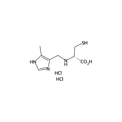 Cc1[nH]cnc1CN[C@H](CS)C(=O)O.Cl.Cl